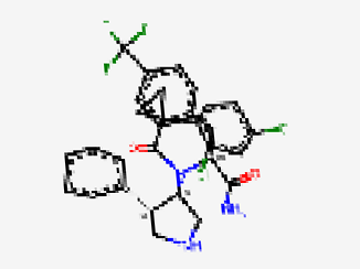 NC(=O)[C@H](Cc1ccc(C(F)(F)F)cc1)N(C(=O)C1(c2ccc(Cl)cc2Cl)CC1)[C@H]1CNC[C@@H]1c1ccccc1